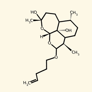 C=CCCCOC1O[C@@H]2O[C@](C)(O)CCC3[C@H](C)CCC([C@H]1C)[C@]32O